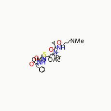 CNCCCCC(=O)N[C@H](C(=O)N(C)[C@H](C[C@@H](OC(C)=O)c1nc(C(=O)N[C@@H](Cc2ccccc2)C(=O)OC)cs1)C(C)C)C1CC1